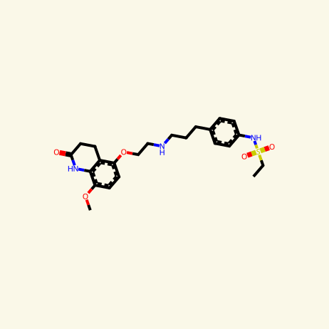 CCS(=O)(=O)Nc1ccc(CCCNCCOc2ccc(OC)c3c2CCC(=O)N3)cc1